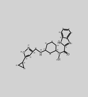 CCN(C(=O)c1nc2ccccc2[nH]1)C1CCCC(NCc2cc(C3CC3)on2)C1